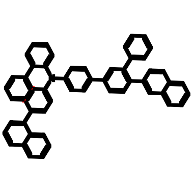 c1ccc(-c2cc(-c3ccc(N(c4ccc(-c5cccc6ccccc56)cc4)c4ccccc4-c4ccccc4)cc3)ccc2-c2ccc3ccccc3c2)cc1